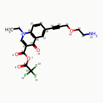 CCn1cc(C(=O)OC(=O)C(F)(F)F)c(=O)c2cc(C#CCOCCN)ccc21